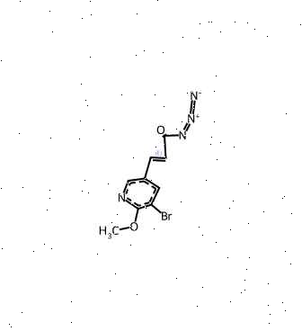 COc1ncc(/C=C/C(=O)N=[N+]=[N-])cc1Br